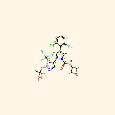 CC(C)(O)Cn1ncc(-c2cc(-c3c(F)cccc3Cl)cn2C(=O)OC2COC2)c1C(F)(F)F